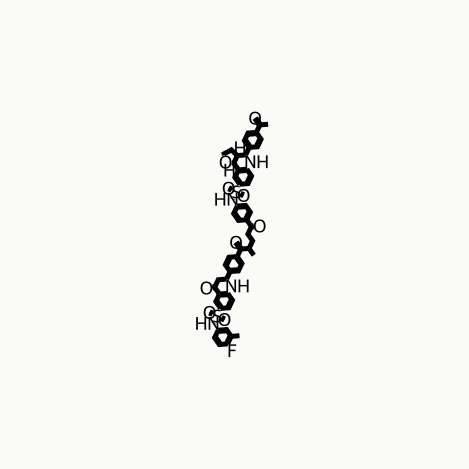 CC(=O)c1ccc(C2Nc3ccc(S(=O)(=O)Nc4ccc(C(=O)CCC(C)C(=O)c5ccc(C6CC(=O)c7cc(S(=O)(=O)Nc8ccc(F)c(C)c8)ccc7N6)cc5)cc4)cc3[C@H]3OCC[C@@H]23)cc1